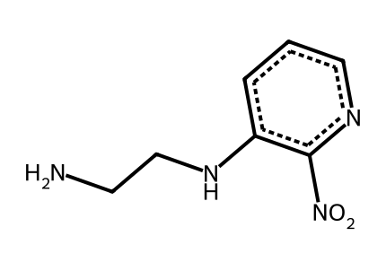 NCCNc1cccnc1[N+](=O)[O-]